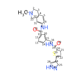 CN1CCc2ccc(NC(=O)c3cccc(CNC(=O)C4CC=C(c5cn[nH]c5)S4)c3)cc2C1